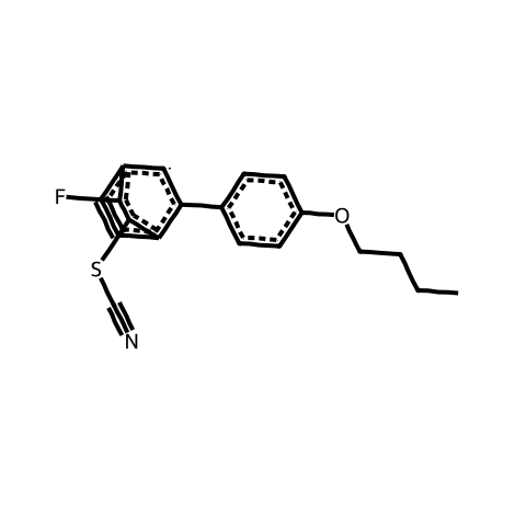 CCCCOc1ccc(-c2[c]c3c#cc2c(SC#N)c3F)cc1